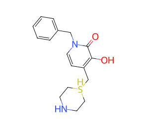 O=c1c(O)c(C[SH]2CCNCC2)ccn1Cc1ccccc1